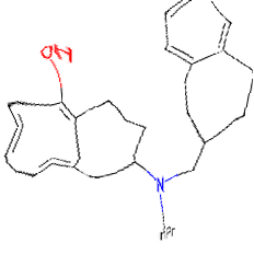 CCCN(CC1CCc2ccccc2C1)C1CCc2c(O)cccc2C1